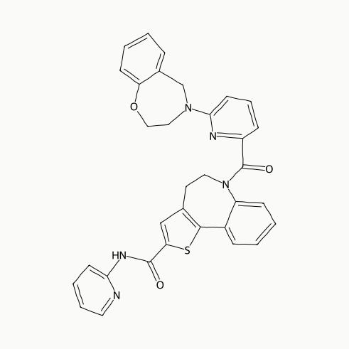 O=C(Nc1ccccn1)c1cc2c(s1)-c1ccccc1N(C(=O)c1cccc(N3CCOc4ccccc4C3)n1)CC2